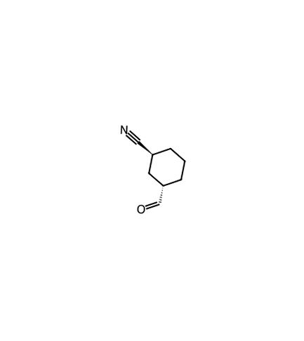 N#C[C@H]1CCC[C@H](C=O)C1